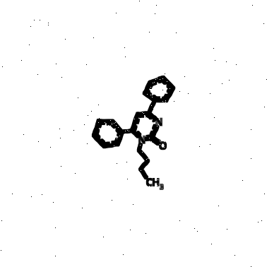 CCCCn1c(-c2ccccc2)cc(-c2ccccc2)nc1=O